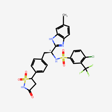 Cc1ccc2nc([C@H](Cc3ccc(C4CC(=O)NS4(=O)=O)cc3)NS(=O)(=O)c3ccc(Cl)c(C(F)(F)F)c3)[nH]c2c1